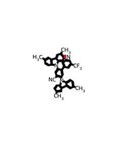 Cc1ccc2c(c1)c1cc(C)ccc1n2-c1cc(-c2cc(C#N)cc(C(F)(F)F)c2)c(-n2c3ccc(C)cc3c3cc(C)ccc32)cc1C#N